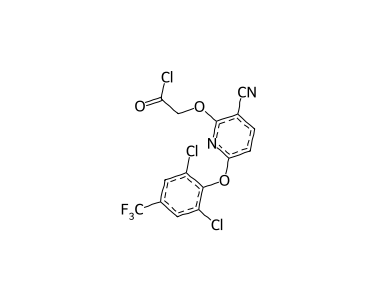 N#Cc1ccc(Oc2c(Cl)cc(C(F)(F)F)cc2Cl)nc1OCC(=O)Cl